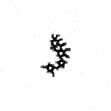 C[C@H]1N2C(=O)c3c(O)c(=O)c(-c4nnc(Cc5ccc(F)cc5F)s4)cn3C[C@@H]2OCC1(F)F